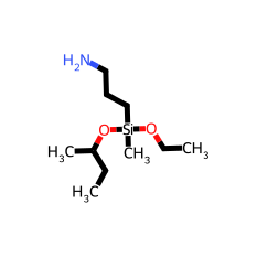 CCO[Si](C)(CCCN)OC(C)CC